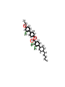 CCCCCC1CCC(c2ccc(C(=O)Oc3ccc(-c4ccc(OCC)cc4F)cc3)c(F)c2F)CC1